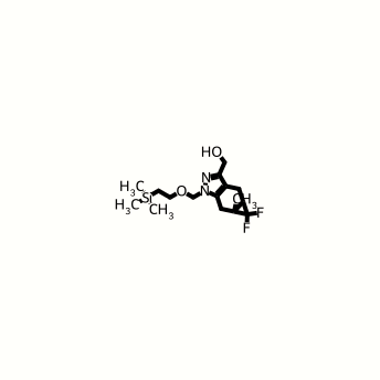 CC12Cc3c(c(CO)nn3COCC[Si](C)(C)C)CC1C2(F)F